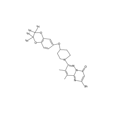 [2H]C1([2H])Oc2ccc(OC3CCN(c4nn5c(=O)cc(C(C)C)nc5c(C)c4C)CC3)cc2OC1([2H])[2H]